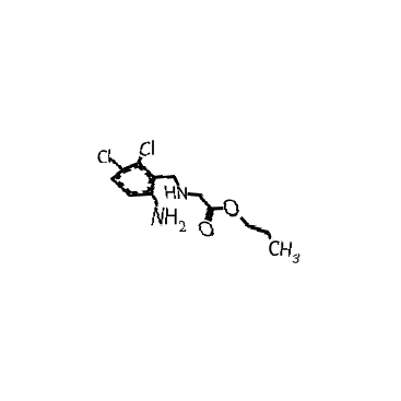 CCCOC(=O)CNCc1c(N)ccc(Cl)c1Cl